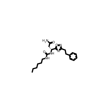 CCCCCCNC(=O)N[C@H](CC(N)=O)c1nc(CCc2ccccc2)no1